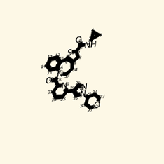 O=C(NC1CC1)C1CC2=C(S1)c1ccccc1N(C(=O)C1CC=CC(c3cnn(C4CCOCC4)c3)=N1)CC2